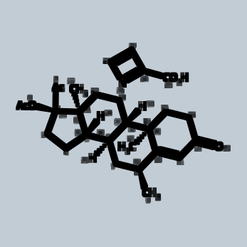 CC(=O)O[C@]1(C(C)=O)CC[C@H]2[C@@H]3C[C@H](C)C4=CC(=O)CC[C@]4(C)[C@H]3CC[C@@]21C.O=C(O)C1=NC=C1